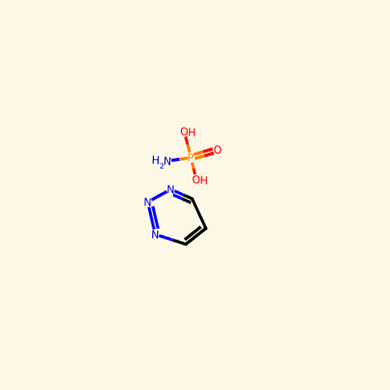 NP(=O)(O)O.c1cnnnc1